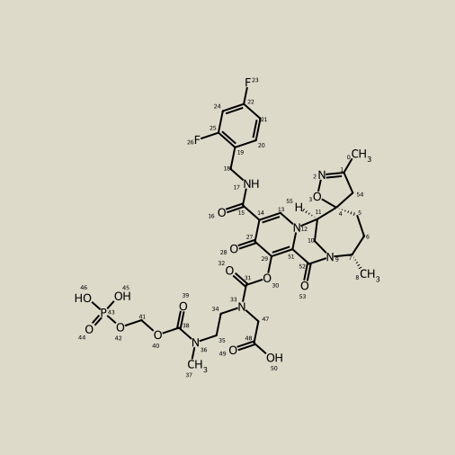 CC1=NO[C@@]2(CC[C@H](C)N3C[C@H]2n2cc(C(=O)NCc4ccc(F)cc4F)c(=O)c(OC(=O)N(CCN(C)C(=O)OCOP(=O)(O)O)CC(=O)O)c2C3=O)C1